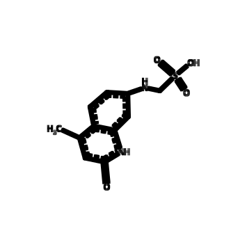 Cc1cc(=O)[nH]c2cc(NCS(=O)(=O)O)ccc12